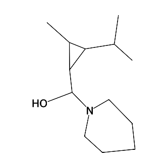 CC(C)C1C(C)C1C(O)N1CCCCC1